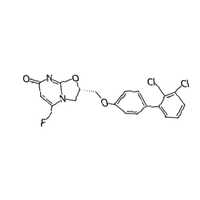 O=c1cc(CF)n2c(n1)O[C@H](COc1ccc(-c3cccc(Cl)c3Cl)cc1)C2